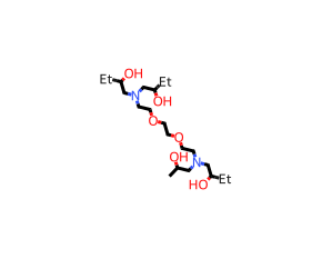 CCC(O)CN(CCOCCOCCN(CC(O)CC)CC(O)CC)CC(C)O